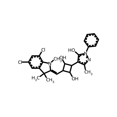 Cc1nn(-c2ccccc2)c(O)c1C1C(O)C(C=C2N(C)c3c(Cl)cc(Cl)cc3C2(C)C)C1O